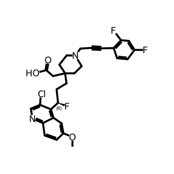 COc1ccc2ncc(Cl)c([C@H](F)CCC3(CC(=O)O)CCN(CC#Cc4ccc(F)cc4F)CC3)c2c1